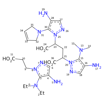 CCN(CC)c1c(N)cnn1CCC(=O)O.CN(C)c1c(N)cnn1C(CC(C(=O)O)n1ncc(N)c1N1CC=CC1)C(=O)O